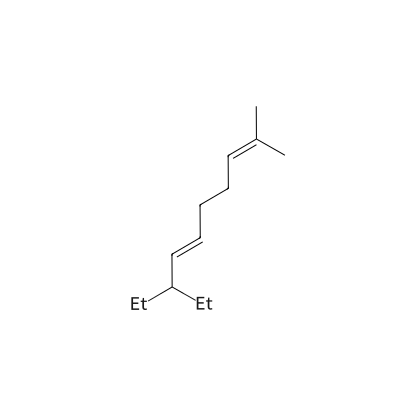 CCC(C=CCCC=C(C)C)CC